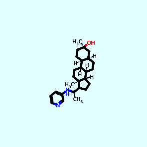 C[C@@H](Nc1cccnc1)C1CC[C@H]2[C@@H]3CC[C@@H]4C[C@](C)(O)CC[C@@H]4[C@H]3CC[C@]12C